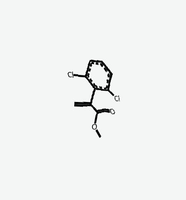 C=C(C(=O)OC)c1c(Cl)cccc1Cl